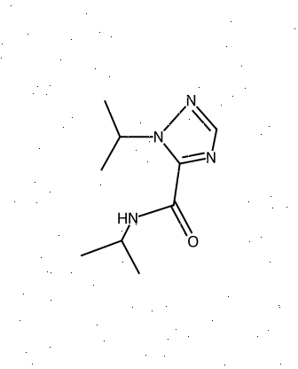 CC(C)NC(=O)c1ncnn1C(C)C